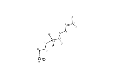 CC(C)=CCCC(C)C(C)(C)CCCC=O